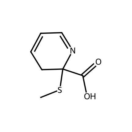 CSC1(C(=O)O)CC=CC=N1